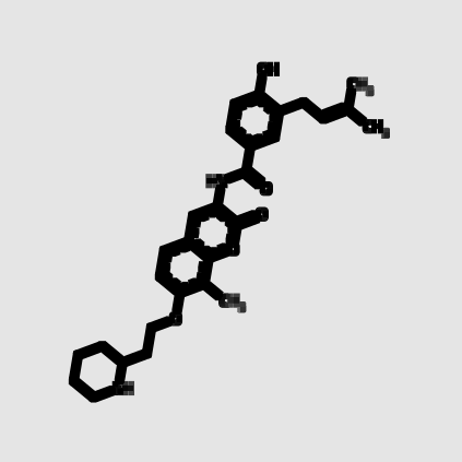 CC(C)=CCc1cc(C(=O)Nc2cc3ccc(OCCC4CCCCN4)c(C)c3oc2=O)ccc1O